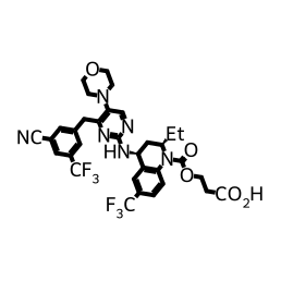 CC[C@@H]1C[C@H](Nc2ncc(N3CCOCC3)c(Cc3cc(C#N)cc(C(F)(F)F)c3)n2)c2cc(C(F)(F)F)ccc2N1C(=O)OCCC(=O)O